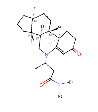 CCN(CC)C(=O)CC(C)N1C[C@H]2[C@@H]3CCC[C@@]3(C)CC[C@@H]2[C@@]2(C)CCC(=O)C=C12